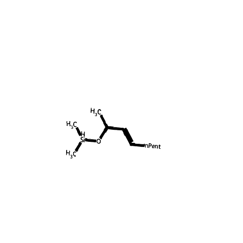 CCCCCC=CC(C)O[SiH](C)C